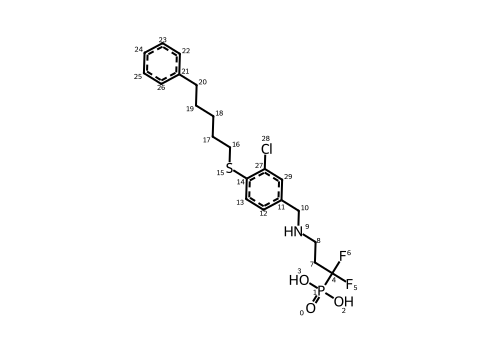 O=P(O)(O)C(F)(F)CCNCc1ccc(SCCCCCc2ccccc2)c(Cl)c1